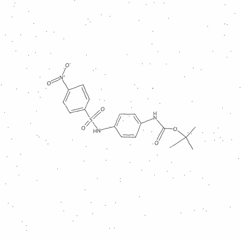 CC(C)(C)OC(=O)Nc1ccc(NS(=O)(=O)c2ccc([N+](=O)[O-])cc2)cc1